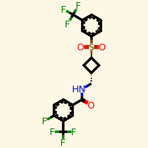 O=C(NC[C@H]1C[C@H](S(=O)(=O)c2cccc(C(F)(F)F)c2)C1)c1ccc(F)c(C(F)(F)F)c1